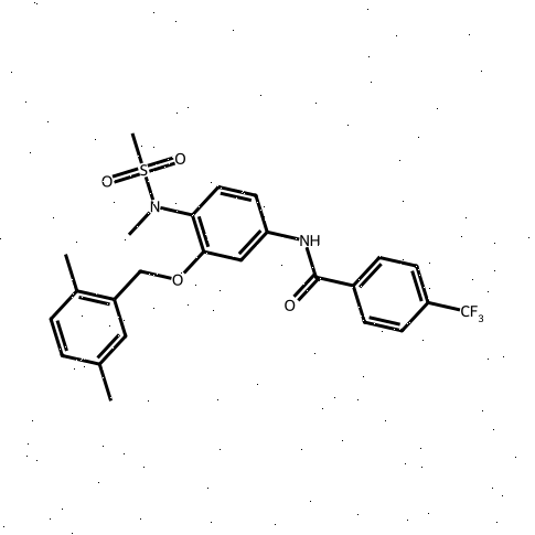 Cc1ccc(C)c(COc2cc(NC(=O)c3ccc(C(F)(F)F)cc3)ccc2N(C)S(C)(=O)=O)c1